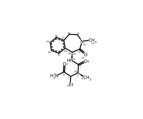 CCC(C(N)=O)[C@H](C)C(=O)N[C@@H]1C(=O)N(C)CCc2ccccc21